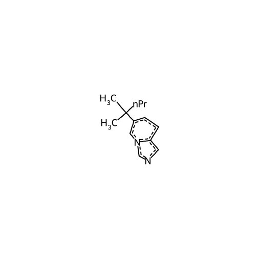 CCCC(C)(C)c1ccc2cncn2c1